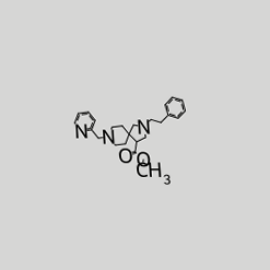 COC(=O)C1CN(CCc2ccccc2)CC12CCN(Cc1ccccn1)CC2